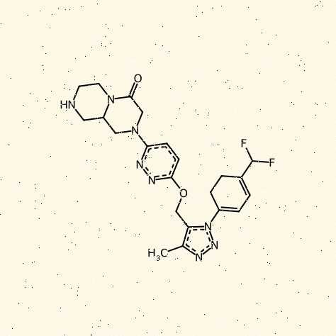 Cc1nnn(C2=CC=C(C(F)F)CC2)c1COc1ccc(N2CC(=O)N3CCNCC3C2)nn1